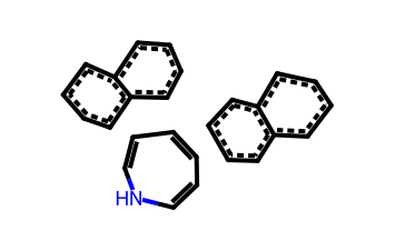 C1=CC=CNC=C1.c1ccc2ccccc2c1.c1ccc2ccccc2c1